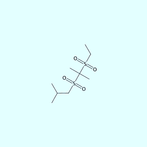 CCS(=O)(=O)C(C)(C)S(=O)(=O)CC(C)C